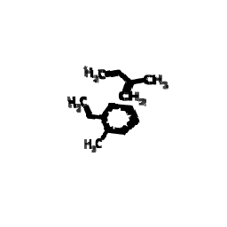 C=CC(=C)C.C=Cc1ccccc1C